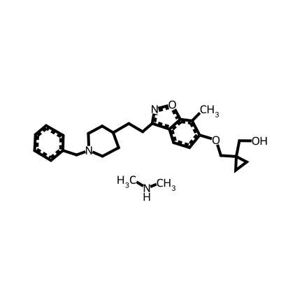 CNC.Cc1c(OCC2(CO)CC2)ccc2c(CCC3CCN(Cc4ccccc4)CC3)noc12